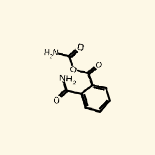 NC(=O)OC(=O)c1ccccc1C(N)=O